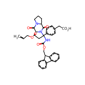 C=CCOC(=O)CC(NC(=O)OCC1c2ccccc2-c2ccccc21)(c1ccc(CC(=O)O)cc1)N1CC(=O)N2CCCC2C1=O